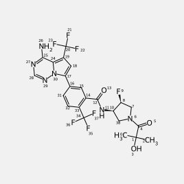 CC(C)(O)C(=O)N1C[C@H](F)[C@H](NC(=O)c2cc(-c3cc(C(F)(F)F)c4c(N)ncnn34)ccc2C(F)(F)F)C1